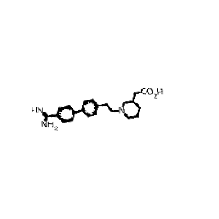 N=C(N)c1ccc(-c2ccc(CCN3CCCC(CC(=O)O)C3)cc2)cc1